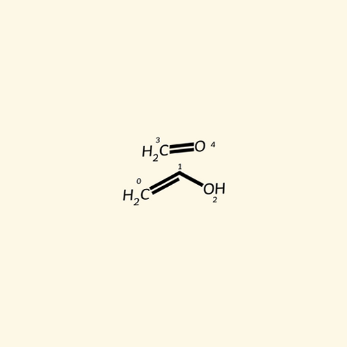 C=CO.C=O